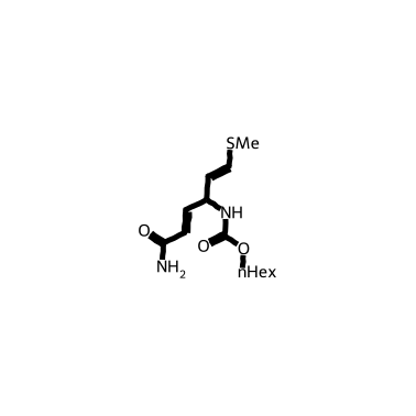 CCCCCCOC(=O)NC(/C=C/SC)/C=C/C(N)=O